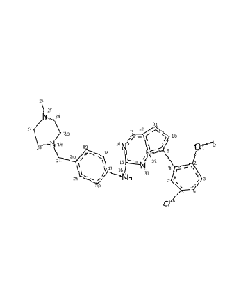 COc1ccc(Cl)cc1-c1ccc2cnc(Nc3ccc(CN4CCN(C)CC4)cc3)nn12